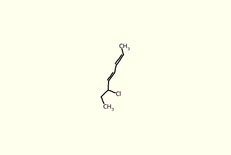 CC=CC=CC(Cl)CC